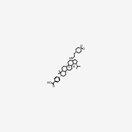 CC(C)[C@@H]1CC[C@]2(NCCN3CCS(=O)(=O)CC3)CC[C@]3(C)[C@H](CCC4[C@@]5(C)CC[C@H](c6ccc(C(=O)O)cc6)C(C)(C)C5CC[C@]43C)C12